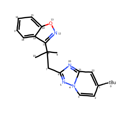 CC(C)(C)c1ccn2nc(CC(C)(C)c3noc4ccccc34)nc2c1